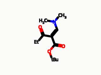 CCC(=O)/C(=C\N(C)C)C(=O)OC(C)(C)C